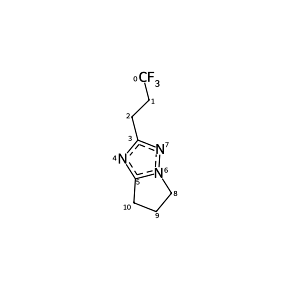 FC(F)(F)CCc1nc2n(n1)CCC2